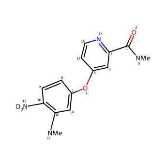 CNC(=O)c1cc(Oc2ccc([N+](=O)[O-])c(NC)c2)ccn1